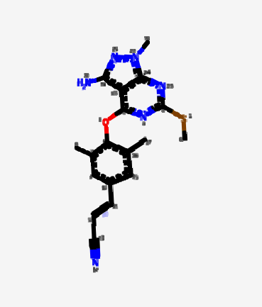 CSc1nc(Oc2c(C)cc(/C=C/C#N)cc2C)c2c(N)nn(C)c2n1